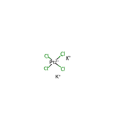 [Cl][Pt-2]([Cl])([Cl])[Cl].[K+].[K+]